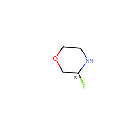 F[C@H]1COCCN1